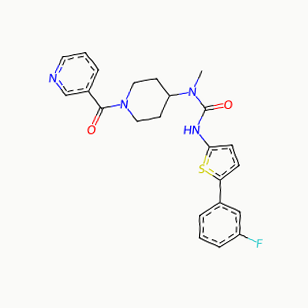 CN(C(=O)Nc1ccc(-c2cccc(F)c2)s1)C1CCN(C(=O)c2cccnc2)CC1